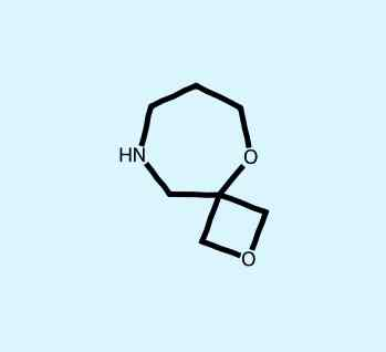 C1CNCC2(COC2)OC1